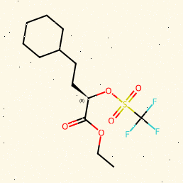 CCOC(=O)[C@@H](CCC1CCCCC1)OS(=O)(=O)C(F)(F)F